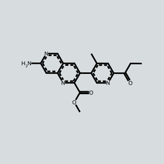 CCC(=O)c1cc(C)c(-c2cc3cnc(N)cc3nc2C(=O)OC)cn1